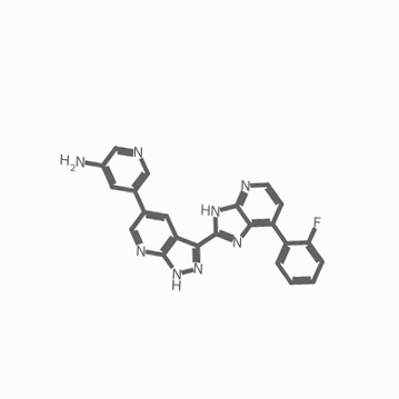 Nc1cncc(-c2cnc3[nH]nc(-c4nc5c(-c6ccccc6F)ccnc5[nH]4)c3c2)c1